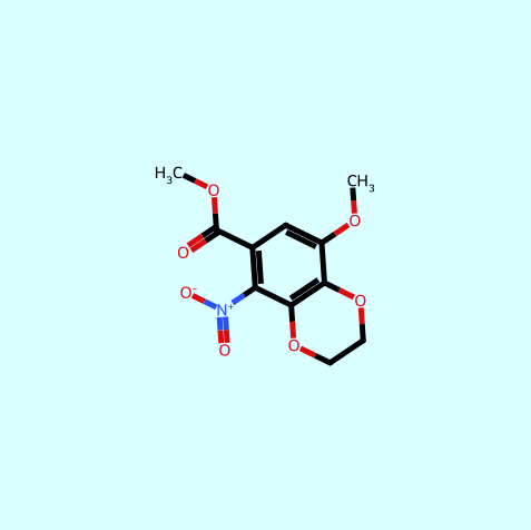 COC(=O)c1cc(OC)c2c(c1[N+](=O)[O-])OCCO2